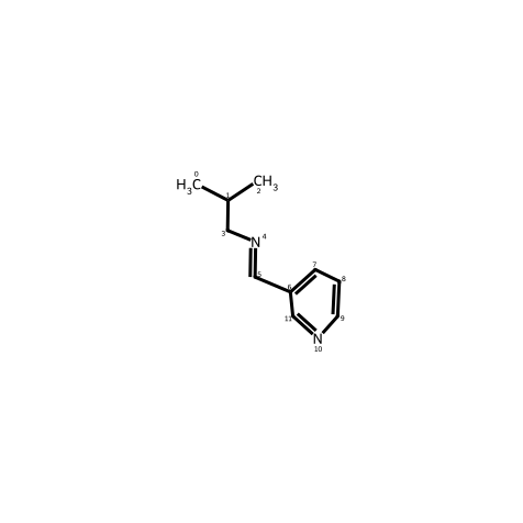 CC(C)CN=Cc1cccnc1